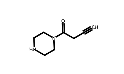 C#CCC(=O)N1CCNCC1